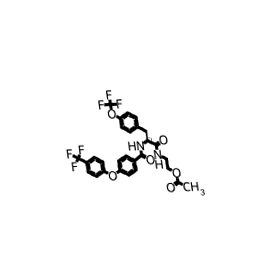 CC(=O)OCCNC(=O)[C@H](Cc1ccc(OC(F)(F)F)cc1)NC(=O)c1ccc(Oc2ccc(C(F)(F)F)cc2)cc1